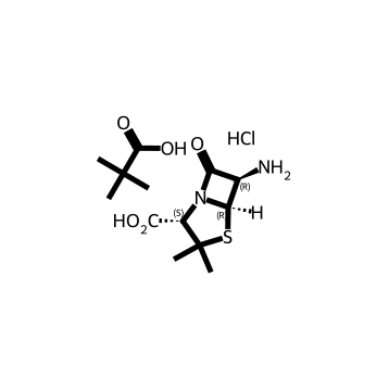 CC(C)(C)C(=O)O.CC1(C)S[C@@H]2[C@H](N)C(=O)N2[C@H]1C(=O)O.Cl